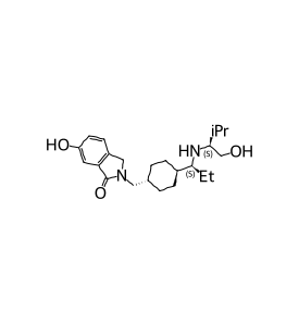 CC[C@H](N[C@H](CO)C(C)C)[C@H]1CC[C@H](CN2Cc3ccc(O)cc3C2=O)CC1